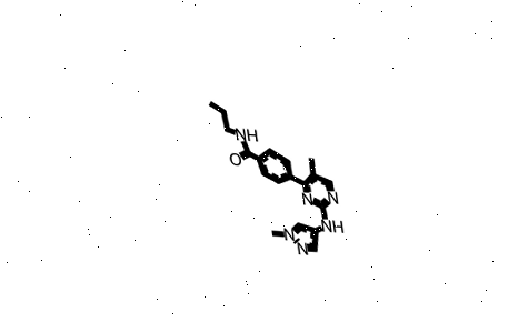 CCCNC(=O)c1ccc(-c2nc(Nc3cnn(C)c3)ncc2C)cc1